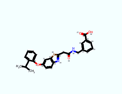 CC(C)c1ccccc1Oc1ccc2nc(CC(=O)NCc3cccc(C(=O)O)c3)sc2c1